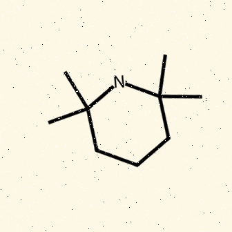 CC1(C)CCCC(C)(C)[N]1